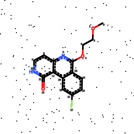 COCCOc1nc2cc[nH]c(=O)c2c2cc(F)ccc12